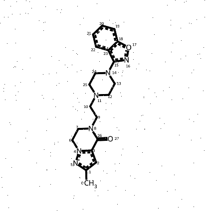 Cc1cc2n(n1)CCN(CCN1CCN(c3noc4ccccc34)CC1)C2=O